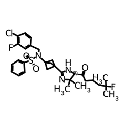 CC(C)(F)CCCC(=O)[C@@H]1NC(C23CC(N(Cc4ccc(Cl)c(F)c4)S(=O)(=O)c4ccccc4)(C2)C3)=NC1(C)C